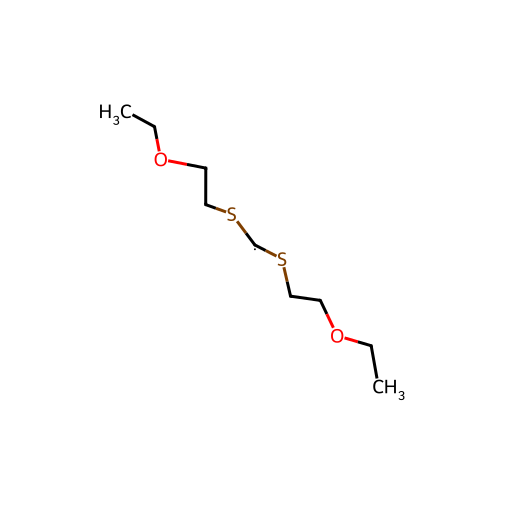 CCOCCS[CH]SCCOCC